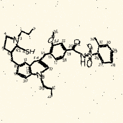 CCCN1CCC(Cc2ccc3c(c2)c(Cc2ccc(C(=O)NS(=O)(=O)c4ccccc4C)cc2OC)cn3CCC)C1S